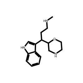 CNCCC(c1c[nH]c2ccccc12)C1CNCCO1